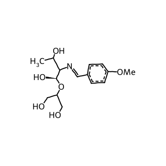 COc1ccc(/C=N/C(C(C)O)[C@H](O)OC(CO)CO)cc1